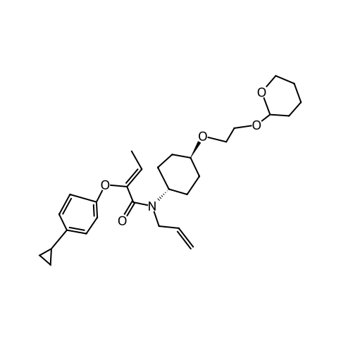 C=CCN(C(=O)/C(=C/C)Oc1ccc(C2CC2)cc1)[C@H]1CC[C@H](OCCOC2CCCCO2)CC1